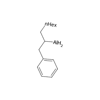 CCCCCCC[CH]([AlH2])Cc1ccccc1